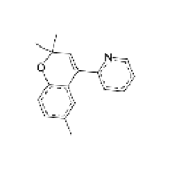 Cc1ccc2c(c1)C(c1ccccn1)=CC(C)(C)O2